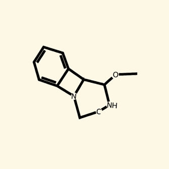 COC1NCCN2[C]1c1ccccc12